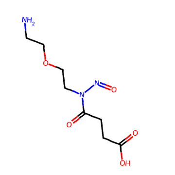 NCCOCCN(N=O)C(=O)CCC(=O)O